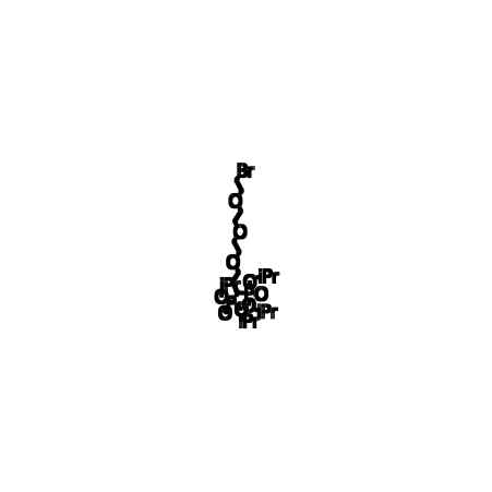 CC(C)OP(=O)(OC(C)C)C(CCOCCOCCOCCBr)P(=O)(OC(C)C)OC(C)C